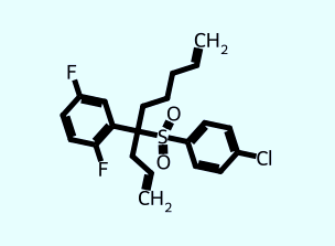 C=CCCCC(CC=C)(c1cc(F)ccc1F)S(=O)(=O)c1ccc(Cl)cc1